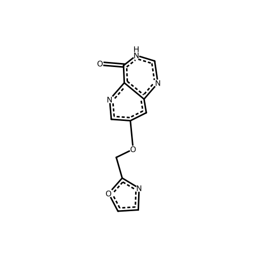 O=c1[nH]cnc2cc(OCc3ncco3)cnc12